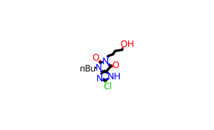 CCCCn1c(=O)n(CCCCO)c(=O)c2[nH]c(Cl)nc21